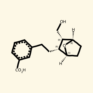 O=C(O)c1cccc(CC[C@@H]2[C@H](CO)[C@H]3CC[C@@H]2O3)c1